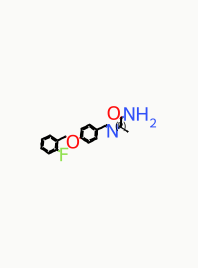 C[C@@H](N=Cc1ccc(OCc2ccccc2F)cc1)C(N)=O